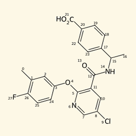 Cc1cc(Oc2ncc(Cl)cc2C(=O)NC(C)c2ccc(C(=O)O)cc2)ccc1F